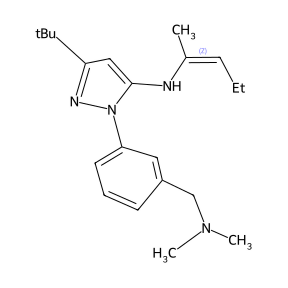 CC/C=C(/C)Nc1cc(C(C)(C)C)nn1-c1cccc(CN(C)C)c1